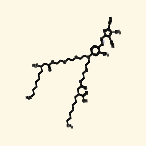 CCCCCCCCC(C)CC(=O)OCCOCCOCCN(CCOCCOC(=O)CC(CCCCCCCC)C(=O)O)c1ccc(/N=N/c2sc(C#N)c(C)c2C#N)c(C)c1